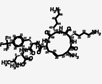 CC(C)C[C@H](NC(=O)[C@H](Cc1ccc(C(F)(F)F)cc1)NC(=O)[C@@H]1C/C=C/C[C@H](N)C(=O)N[C@@H](CCCCN)C(=O)N[C@@H](CCCCN)C(=O)N1)C(=O)O